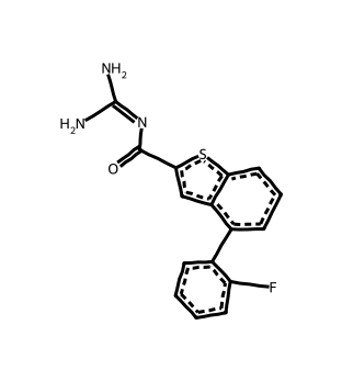 NC(N)=NC(=O)c1cc2c(-c3ccccc3F)cccc2s1